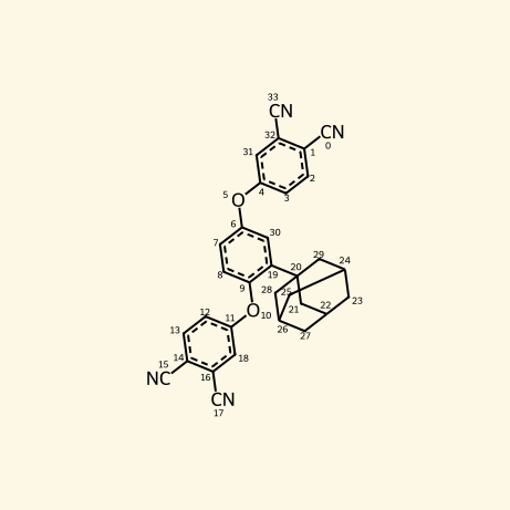 N#Cc1ccc(Oc2ccc(Oc3ccc(C#N)c(C#N)c3)c(C34CC5CC(CC(C5)C3)C4)c2)cc1C#N